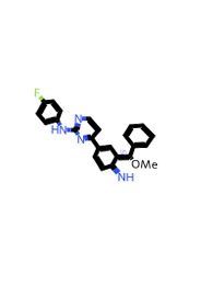 CO/C(=C1/C=C(c2ccnc(Nc3ccc(F)cc3)n2)C=CC1=N)c1ccccc1